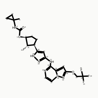 CC1(NC(=O)O[C@H]2CC[C@@H](c3cc(Nc4nccn5nc(OCC(F)(F)F)cc45)n[nH]3)[C@@H]2F)CC1